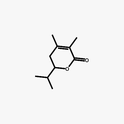 CC1=C(C)C(=O)OC(C(C)C)C1